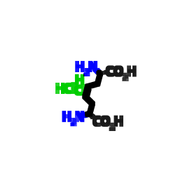 Cl.Cl.N[C@@H](C/C=C\C[C@H](N)C(=O)O)C(=O)O